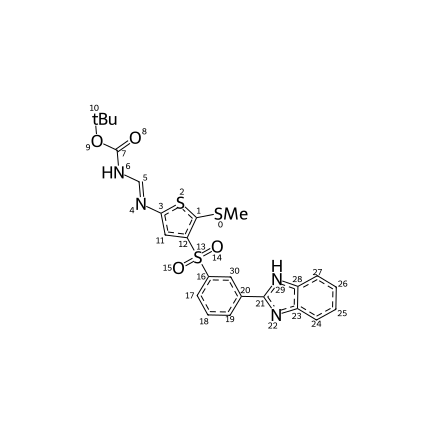 CSc1sc(/N=C/NC(=O)OC(C)(C)C)cc1S(=O)(=O)c1cccc(-c2nc3ccccc3[nH]2)c1